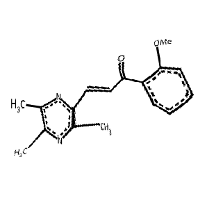 COc1ccccc1C(=O)/C=C/c1nc(C)c(C)nc1C